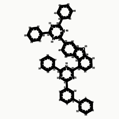 c1ccc(-c2cccc(-c3nc(-c4ccccc4)nc(-c4cccc5oc6cc(-c7nc(-c8ccccc8)nc(-c8ccccc8)n7)ccc6c45)n3)c2)cc1